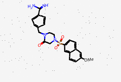 COc1ccc2cc(S(=O)(=O)N3CCN(Cc4ccc(C(=N)N)cc4)C(=O)C3)ccc2c1